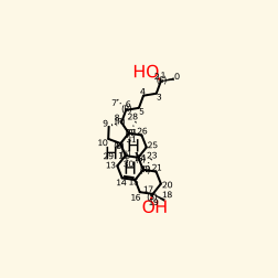 C[C@H](O)CCC[C@@H](C)[C@H]1CC[C@H]2[C@@H]3CC=C4C[C@@](C)(O)CC[C@]4(C)[C@H]3CC[C@]12C